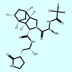 CC(C)(C)[C@H](NC(=O)C(F)(F)Cl)C(=O)N1C[C@@H]2[C@H]3C[C@@H]([C@@H]2[C@H]1C(=O)N[C@H](C#N)C[C@@H]1CCNC1=O)[C@H](F)C3